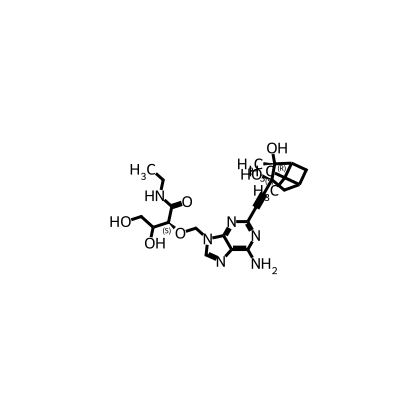 CCNC(=O)[C@@H](OCn1cnc2c(N)nc(C#C[C@@]3(O)CC4CC(C4(C)C)[C@@]3(C)O)nc21)C(O)CO